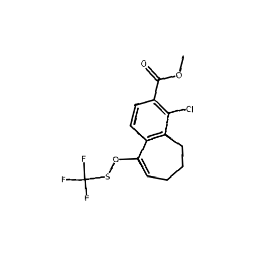 COC(=O)c1ccc2c(c1Cl)CCCC=C2OSC(F)(F)F